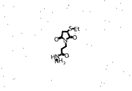 CCSC1CC(=O)N(CCC(=O)NN)C1=O